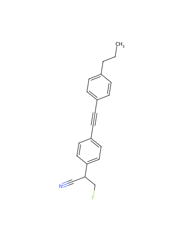 CCCc1ccc(C#Cc2ccc(C(C#N)CF)cc2)cc1